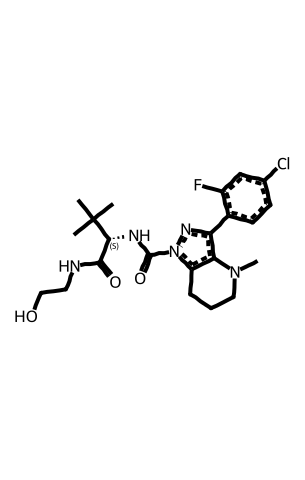 CN1CCCc2c1c(-c1ccc(Cl)cc1F)nn2C(=O)N[C@H](C(=O)NCCO)C(C)(C)C